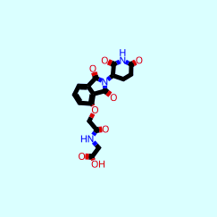 O=C(O)CNC(=O)COc1cccc2c1C(=O)N(C1CCC(=O)NC1=O)C2=O